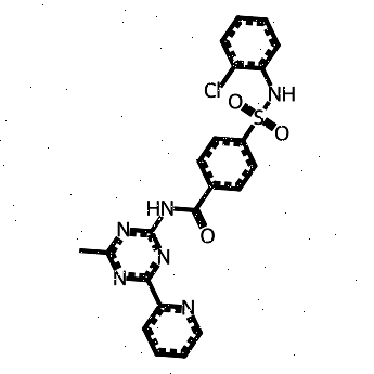 Cc1nc(NC(=O)c2ccc(S(=O)(=O)Nc3ccccc3Cl)cc2)nc(-c2ccccn2)n1